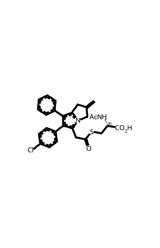 C=C1Cc2c(-c3ccccc3)c(-c3ccc(Cl)cc3)c(CC(=O)SC[C@H](NC(C)=O)C(=O)O)n2C1